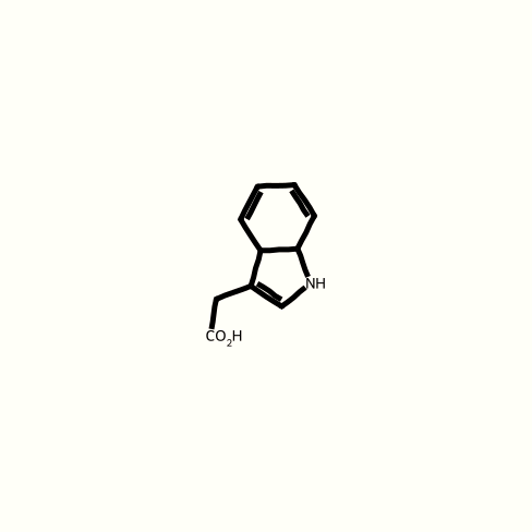 O=C(O)CC1=CNC2C=CC=CC12